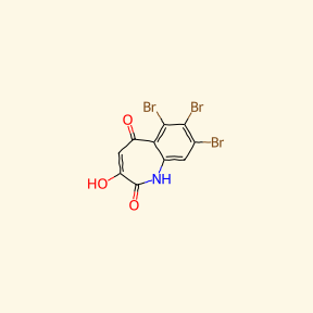 O=c1[nH]c2cc(Br)c(Br)c(Br)c2c(=O)cc1O